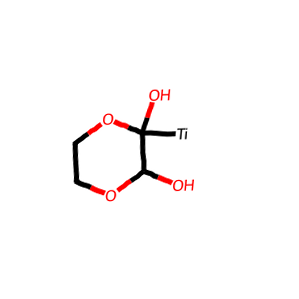 OC1OCCO[C]1(O)[Ti]